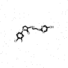 O=C1C(NCCNc2ncc(O)cn2)CCN1c1ccc(Cl)c(F)c1